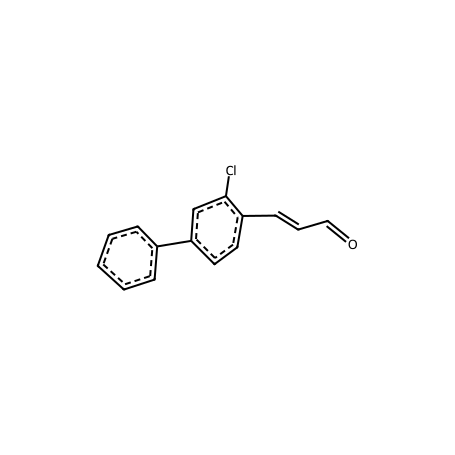 O=CC=Cc1ccc(-c2ccccc2)cc1Cl